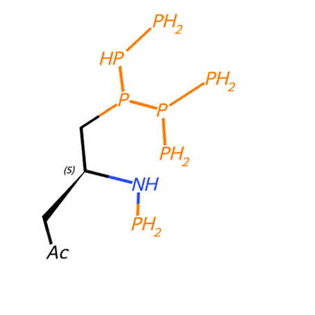 CC(=O)C[C@@H](CP(PP)P(P)P)NP